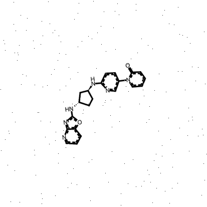 O=c1ccccn1-c1ccc(N[C@H]2CC[C@H](Nc3nc4ncccc4o3)C2)nc1